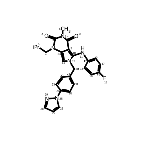 CC(C)Cn1c(=O)n(C)c(=O)c2c(Nc3ccc(F)cc3)n(Cc3ccc(-n4cccn4)cc3)cc21